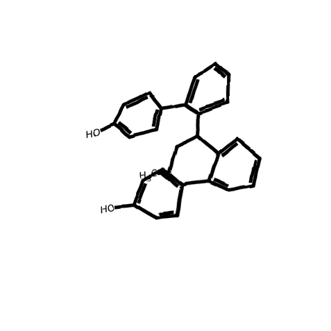 CCCC(c1ccccc1-c1ccc(O)cc1)c1ccccc1-c1ccc(O)cc1